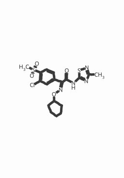 Cc1nsc(NC(=O)/C(=N/OC2CCCCC2)c2ccc(S(C)(=O)=O)c(Cl)c2)n1